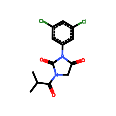 CC(C)C(=O)N1CC(=O)N(c2cc(Cl)cc(Cl)c2)C1=O